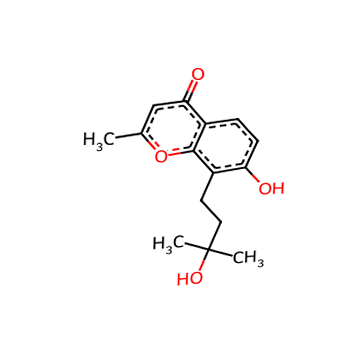 Cc1cc(=O)c2ccc(O)c(CCC(C)(C)O)c2o1